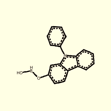 OBOc1ccc2c3ccccc3n(-c3ccccc3)c2c1